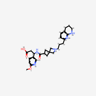 COc1ccc(C(CC(=O)O)NC(=O)C2CC3(C2)CN(CCCc2ccc4c(n2)NCCC4)C3)cn1